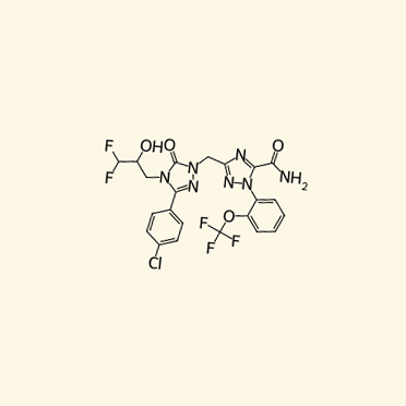 NC(=O)c1nc(Cn2nc(-c3ccc(Cl)cc3)n(CC(O)C(F)F)c2=O)nn1-c1ccccc1OC(F)(F)F